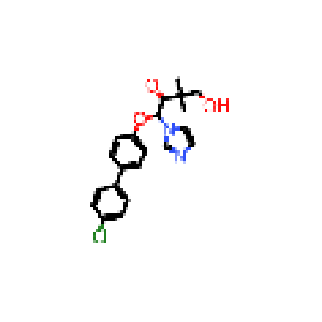 CC(C)(CO)C(=O)C(Oc1ccc(-c2ccc(Cl)cc2)cc1)n1ccnc1